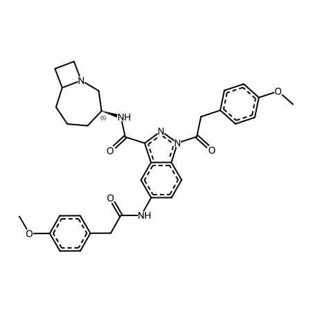 COc1ccc(CC(=O)Nc2ccc3c(c2)c(C(=O)N[C@H]2CCCC4CCN4C2)nn3C(=O)Cc2ccc(OC)cc2)cc1